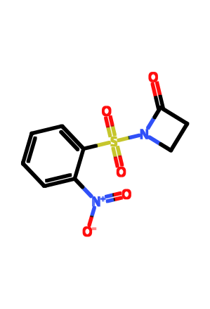 O=C1CCN1S(=O)(=O)c1ccccc1[N+](=O)[O-]